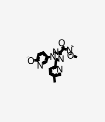 COc1ccc(-n2nc(C(=O)N(C)OC)nc2-c2ccc(C)cn2)cn1